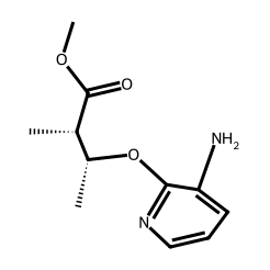 COC(=O)[C@@H](C)[C@@H](C)Oc1ncccc1N